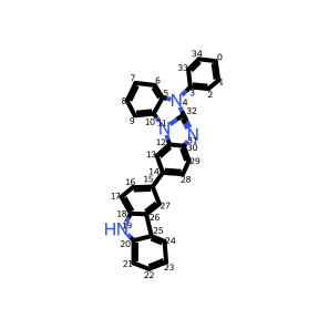 c1ccc(-n2c3ccccc3n3c4cc(-c5ccc6[nH]c7ccccc7c6c5)ccc4nc23)cc1